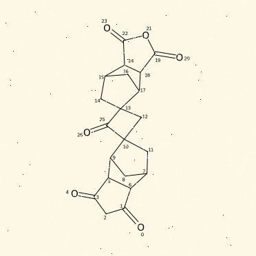 O=C1CC(=O)C2C1C1CC2C2(C1)CC1(CC3CC1C1C(=O)OC(=O)C31)C2=O